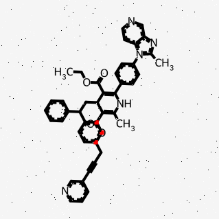 CCOC(=O)C1=C(c2ccc(-n3c(C)nc4cnccc43)cc2)NC(C)=C(C(=O)OCCC#Cc2cccnc2)C1CC(c1ccccc1)c1ccccc1